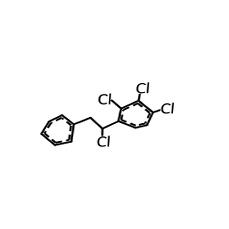 Clc1ccc(C(Cl)Cc2ccccc2)c(Cl)c1Cl